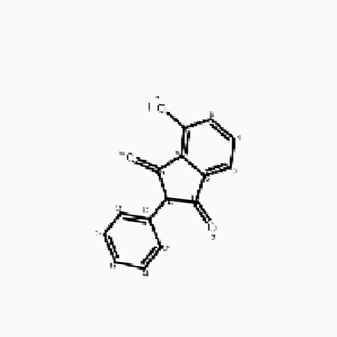 O=C1c2cccc(O)c2C(=O)C1c1ccccc1